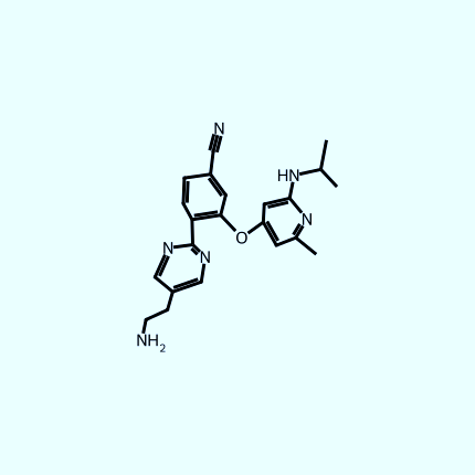 Cc1cc(Oc2cc(C#N)ccc2-c2ncc(CCN)cn2)cc(NC(C)C)n1